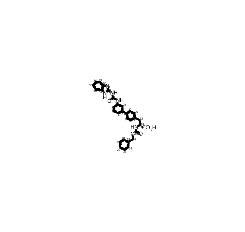 O=C(Nc1cccc(-c2ccc(C[C@@H](NC(=O)OCc3ccccc3)C(=O)O)cc2)c1)Nc1nc2ccccc2[nH]1